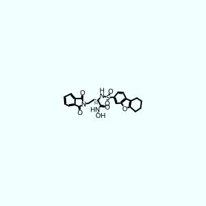 O=C(NO)[C@H](CCN1C(=O)c2ccccc2C1=O)NS(=O)(=O)c1ccc2c3c(oc2c1)CCCC3